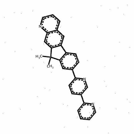 CC1(C)c2cc(-c3ccc(-c4ccccn4)cn3)ccc2-c2cc3cccnc3cc21